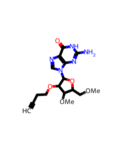 C#CCCOC1C(OC)C(COC)OC1n1cnc2c(=O)[nH]c(N)nc21